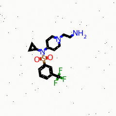 NCCN1CCC(N(C2CC2)S(=O)(=O)c2cccc(C(F)(F)F)c2)CC1